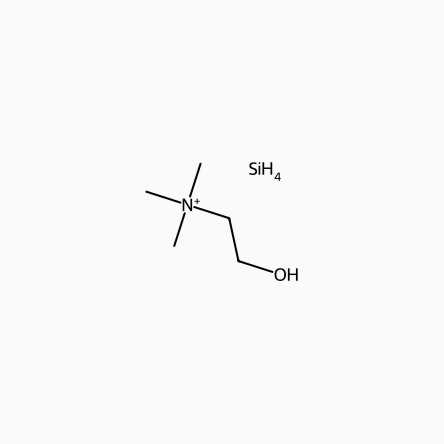 C[N+](C)(C)CCO.[SiH4]